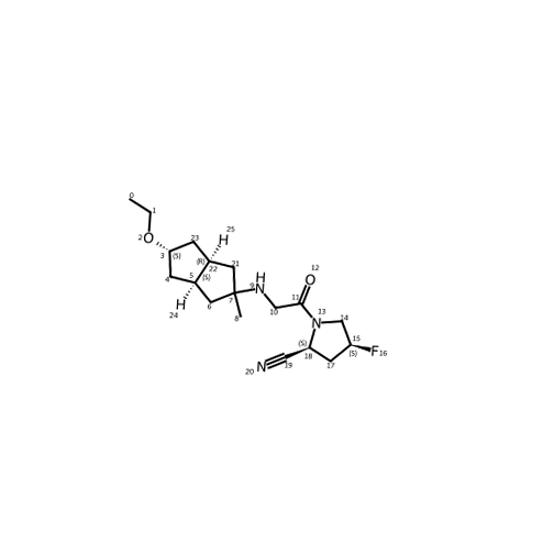 CCO[C@H]1C[C@@H]2CC(C)(NCC(=O)N3C[C@@H](F)C[C@H]3C#N)C[C@@H]2C1